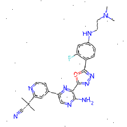 CN(C)CCNc1ccc(-c2nnc(-c3nc(-c4ccnc(C(C)(C)C#N)c4)cnc3N)o2)c(F)c1